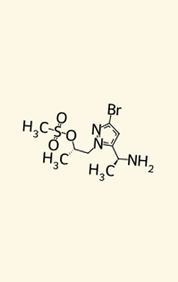 C[C@H](N)c1cc(Br)nn1C[C@H](C)OS(C)(=O)=O